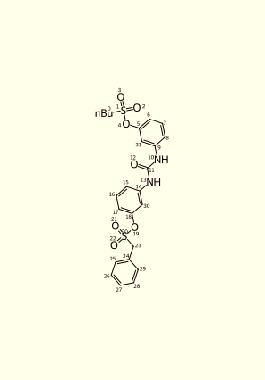 CCCCS(=O)(=O)Oc1cccc(NC(=O)Nc2cccc(OS(=O)(=O)Cc3ccccc3)c2)c1